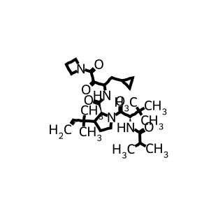 C=CC(C)(C)C1CCN(C(=O)[C@@H](NC(=O)C(C)C)C(C)(C)C)[C@@H]1C(=O)NC(CC1CC1)C(=O)C(=O)N1CCC1